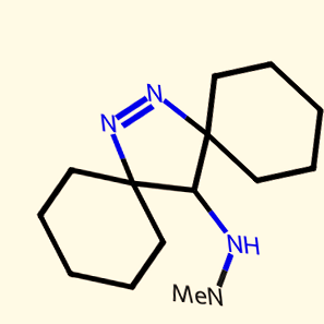 CNNC1C2(CCCCC2)N=NC12CCCCC2